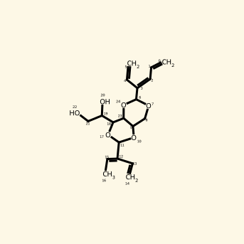 C=C/C=C(\C=C)C1OCC2OC(/C(C=C)=C/C)OC(C(O)CO)C2O1